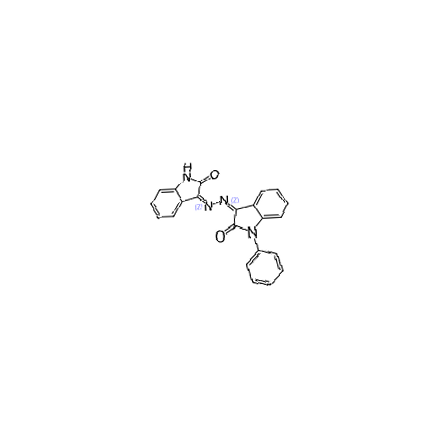 O=C1Nc2ccccc2/C1=N/N=C1\C(=O)N(c2ccccc2)c2ccccc21